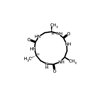 CC1CNC(=O)N[C@H](C)CNC(=O)N[C@@H](C)CNC(=O)N1